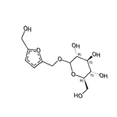 OCc1ccc(COC2O[C@H](CO)[C@@H](O)[C@H](O)[C@H]2O)o1